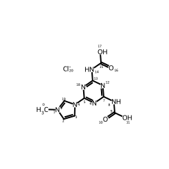 C[n+]1ccn(-c2nc(NC(=O)O)nc(NC(=O)O)n2)c1.[Cl-]